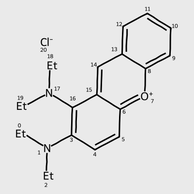 CCN(CC)c1ccc2[o+]c3ccccc3cc2c1N(CC)CC.[Cl-]